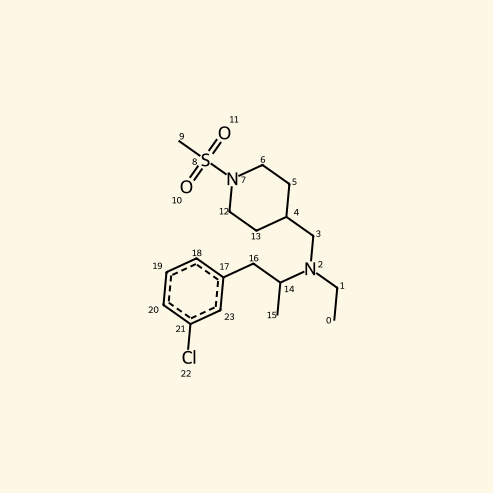 CCN(CC1CCN(S(C)(=O)=O)CC1)C(C)Cc1cccc(Cl)c1